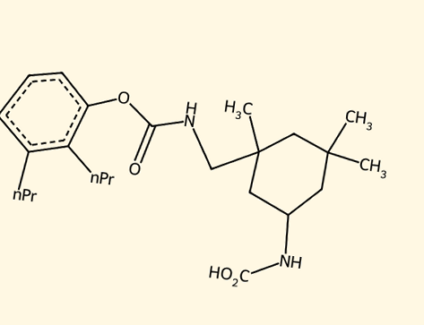 CCCc1cccc(OC(=O)NCC2(C)CC(NC(=O)O)CC(C)(C)C2)c1CCC